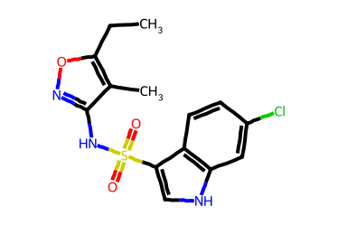 CCc1onc(NS(=O)(=O)c2c[nH]c3cc(Cl)ccc23)c1C